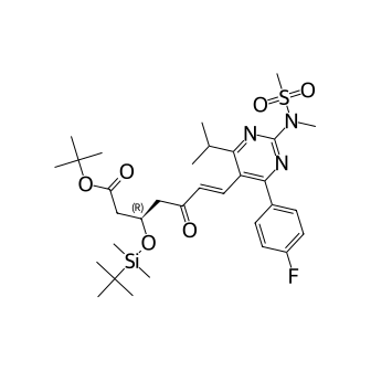 CC(C)c1nc(N(C)S(C)(=O)=O)nc(-c2ccc(F)cc2)c1C=CC(=O)C[C@H](CC(=O)OC(C)(C)C)O[Si](C)(C)C(C)(C)C